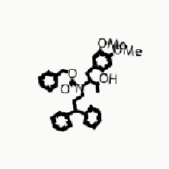 COc1ccc(CC(C(C)O)N(CCC(c2ccccc2)c2ccccc2)C(=O)OCc2ccccc2)cc1OC